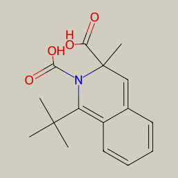 CC(C)(C)C1=c2ccccc2=CC(C)(C(=O)O)N1C(=O)O